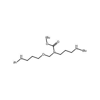 CC(C)NCCCOCN(CCCNC(C)(C)C)C(=O)OC(C)(C)C